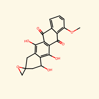 COc1cccc2c1C(=O)c1c(O)c3c(c(O)c1C2=O)CC1(CO1)CC3O